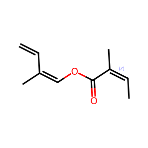 C=CC(C)=COC(=O)/C(C)=C\C